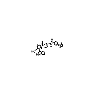 C#Cc1cnc(N[C@@H]2CCCN(CC(=O)Nc3ccc([As]4SCCS4)cc3)C2)nc1-c1c[nH]c2ccccc12